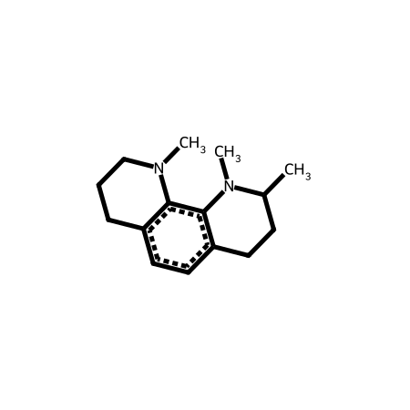 CC1CCc2ccc3c(c2N1C)N(C)CCC3